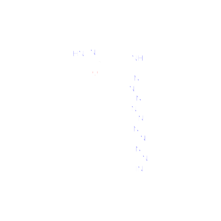 N=NN=NN=NN=NN=NC1C=C(C(=O)N=N)C=CN1